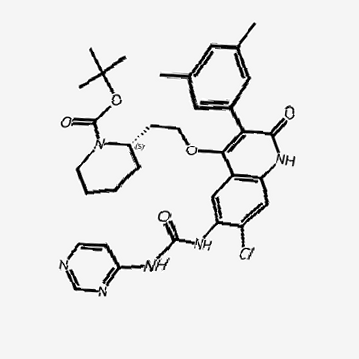 Cc1cc(C)cc(-c2c(OCC[C@@H]3CCCCN3C(=O)OC(C)(C)C)c3cc(NC(=O)Nc4ccncn4)c(Cl)cc3[nH]c2=O)c1